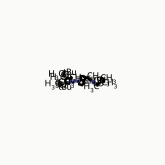 C=C1/C(=C\C=C2/CCC[C@]3(C)C([C@H](C)C/C=C/C(C)(C)O[Si](C)(C)C)=CC[C@@H]23)C[C@H](O[Si](C)(C)C(C)(C)C)C[C@H]1O[Si](C)(C)C(C)(C)C